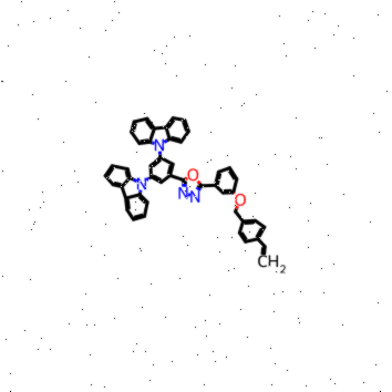 C=Cc1ccc(COc2cccc(-c3nnc(-c4cc(-n5c6ccccc6c6ccccc65)cc(-n5c6ccccc6c6ccccc65)c4)o3)c2)cc1